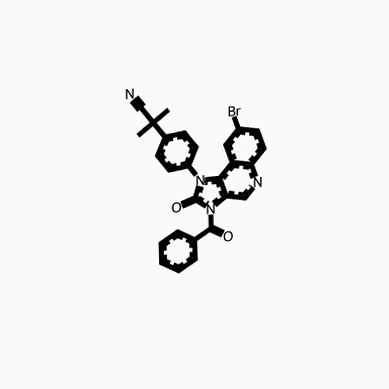 CC(C)(C#N)c1ccc(-n2c(=O)n(C(=O)c3ccccc3)c3cnc4ccc(Br)cc4c32)cc1